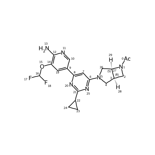 CC(=O)N1C[C@H]2CN(c3cc(-c4cnc(N)c(OC(F)F)c4)nc(C4CC4)n3)C[C@H]21